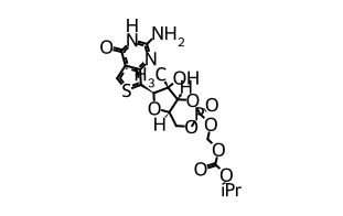 CC(C)OC(=O)OCOP1(=O)OC[C@H]2O[C@@H](c3scc4c(=O)[nH]c(N)nc34)[C@](C)(O)[C@@H]2O1